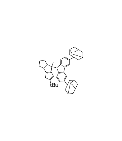 CC(C)(C)C1=CC2=C(C1)C1CCCC1C2(C)C1c2ccc(C34CC5CC(CC(C5)C3)C4)cc2-c2cc(C34CC5CC(CC(C5)C3)C4)ccc21